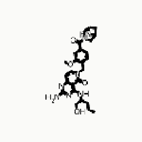 CCCC(CO)Nc1nc(N)nc2ccn(Cc3ccc(C(=O)N4CC5CC(C4)N5)cc3OC)c(=O)c12